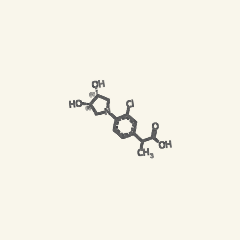 CC(C(=O)O)c1ccc(N2C[C@@H](O)[C@H](O)C2)c(Cl)c1